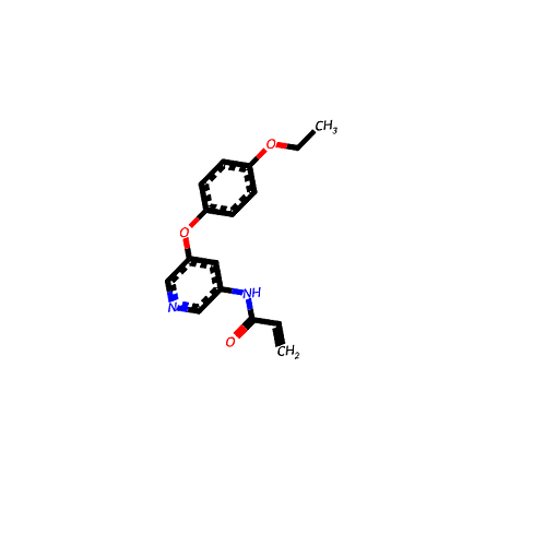 C=CC(=O)Nc1cncc(Oc2ccc(OCC)cc2)c1